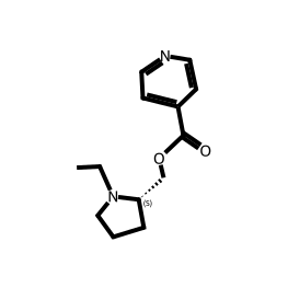 CCN1CCC[C@H]1COC(=O)c1ccncc1